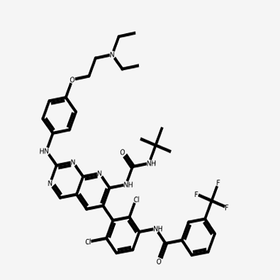 CCN(CC)CCOc1ccc(Nc2ncc3cc(-c4c(Cl)ccc(NC(=O)c5cccc(C(F)(F)F)c5)c4Cl)c(NC(=O)NC(C)(C)C)nc3n2)cc1